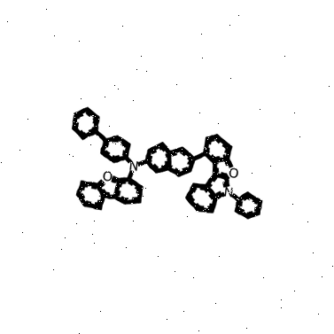 c1ccc(-c2ccc(N(c3ccc4cc(-c5cccc6oc7c(c8ccccc8n7-c7ccccc7)c56)ccc4c3)c3cccc4c3oc3ccccc34)cc2)cc1